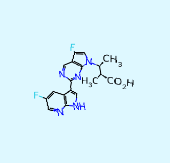 C[C@H](C(=O)O)[C@H](C)n1cc(F)c2cnc(-c3c[nH]c4ncc(F)cc34)nc21